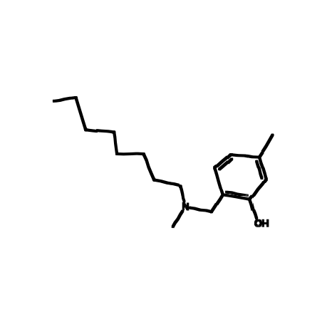 CCCCCCCCN(C)Cc1ccc(C)cc1O